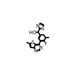 Cc1cc2ncnc(C3=C(F)C(C)CC(C(O)c4nccs4)=C3)c2s1